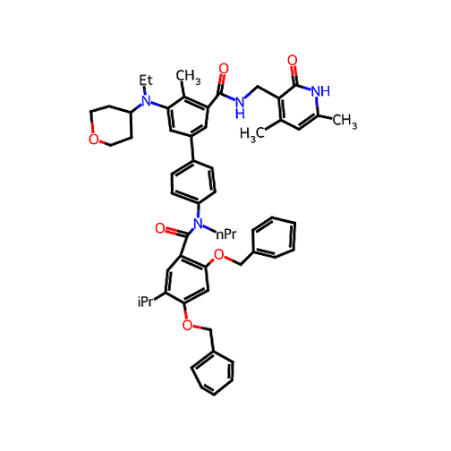 CCCN(C(=O)c1cc(C(C)C)c(OCc2ccccc2)cc1OCc1ccccc1)c1ccc(-c2cc(C(=O)NCc3c(C)cc(C)[nH]c3=O)c(C)c(N(CC)C3CCOCC3)c2)cc1